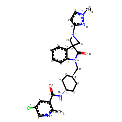 Cc1ncc(Cl)cc1C(=O)N[C@H]1CC[C@H](CN2C(=O)C3(CN(c4ccn(C)n4)C3)c3ccccc32)CC1